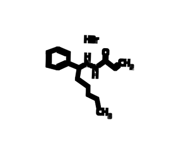 Br.C=CC(=O)NNC(CCCCC)c1ccccc1